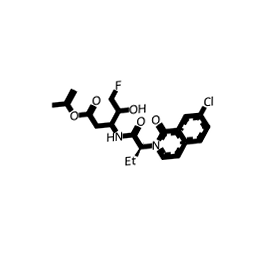 C=C(C)OC(=O)CC(NC(=O)[C@H](CC)n1ccc2ccc(Cl)cc2c1=O)C(O)CF